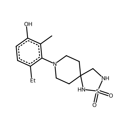 CCc1ccc(O)c(C)c1N1CCC2(CC1)CNS(=O)(=O)N2